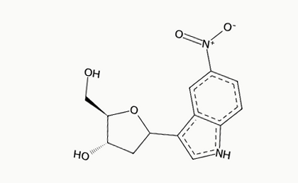 O=[N+]([O-])c1ccc2[nH]cc(C3C[C@H](O)[C@@H](CO)O3)c2c1